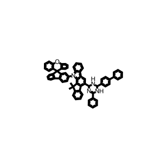 CC1(C)c2ccccc2-c2c(C3N=C(c4ccccc4)NC(c4ccc(-c5ccccc5)cc4)N3)cc3c4ccccc4n(-c4ccc5c(c4)C4(c6ccccc6Oc6ccccc64)c4ccccc4-5)c3c21